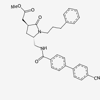 COC(=O)C[C@@H]1C[C@@H](CNC(=O)c2ccc(-c3ccc(C#N)cc3)cc2)N(CCCc2ccccc2)C1=O